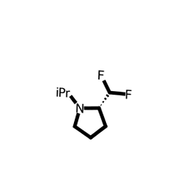 CC(C)N1CCC[C@H]1C(F)F